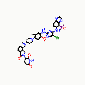 COc1cc(N2CCC(N(C)Cc3cccc4c3CN(C3CCC(=O)NC3=O)C4=O)CC2)c(C)cc1Nc1ncc(Br)c(Nc2ccc3nccnc3c2P(C)(C)=O)n1